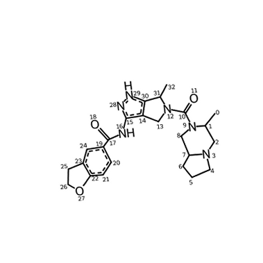 CC1CN2CCCC2CN1C(=O)N1Cc2c(NC(=O)c3ccc4c(c3)CCO4)n[nH]c2C1C